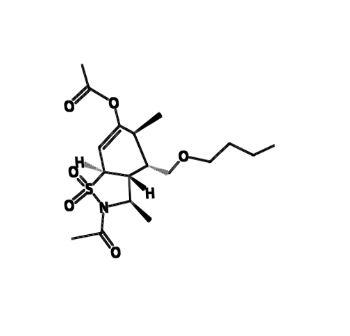 CCCCOC[C@@H]1[C@@H]2[C@@H](C)N(C(C)=O)S(=O)(=O)[C@H]2C=C(OC(C)=O)[C@H]1C